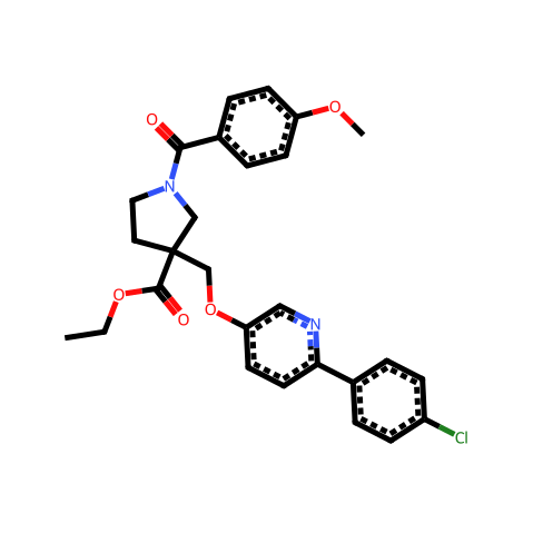 CCOC(=O)C1(COc2ccc(-c3ccc(Cl)cc3)nc2)CCN(C(=O)c2ccc(OC)cc2)C1